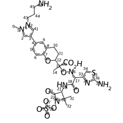 C[n+]1cc(-c2ccc3c(c2)CCC([C@@](C)(O/N=C(\C(=O)NC2C(=O)N(OS(=O)(=O)[O-])C2(C)C)c2csc(N)n2)C(=O)O)O3)cn1CCCN